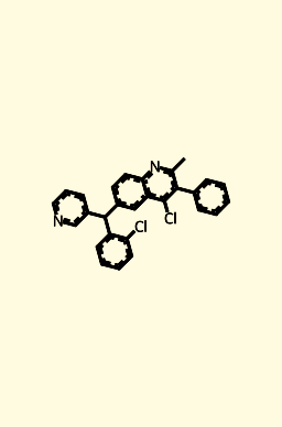 Cc1nc2ccc(C(c3cccnc3)c3ccccc3Cl)cc2c(Cl)c1-c1ccccc1